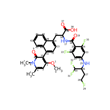 COc1cc(C)n(C)c(=O)c1-c1ccc(CC(NC(=O)c2c(F)cc(NC(CCF)C(F)F)cc2F)C(=O)O)c2ccccc12